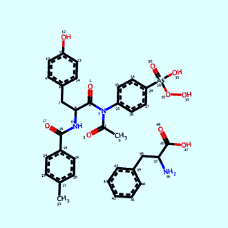 CC(=O)N(C(=O)C(Cc1ccc(O)cc1)NC(=O)c1ccc(C)cc1)c1ccc([As](=O)(O)OO)cc1.NC(Cc1ccccc1)C(=O)O